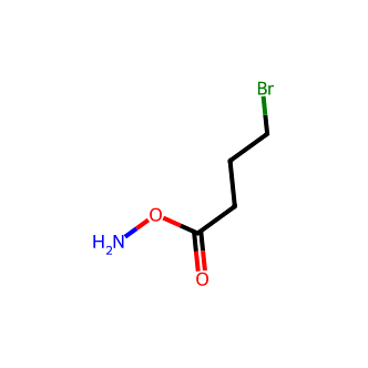 NOC(=O)CCCBr